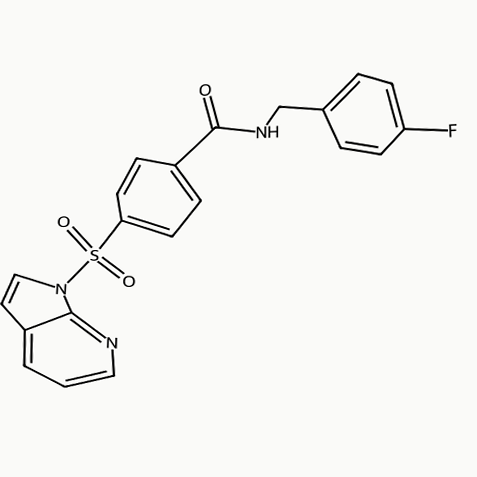 O=C(NCc1ccc(F)cc1)c1ccc(S(=O)(=O)n2ccc3cccnc32)cc1